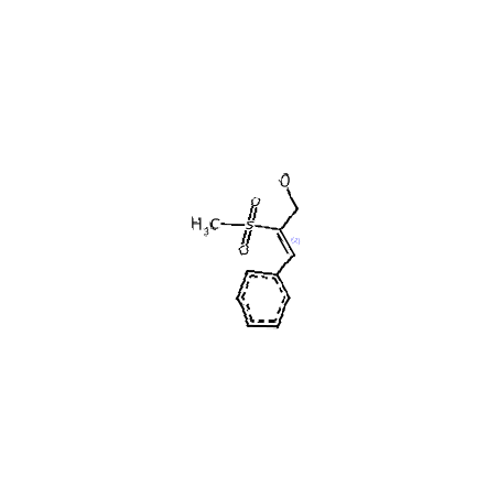 CS(=O)(=O)/C(=C\c1ccccc1)C[O]